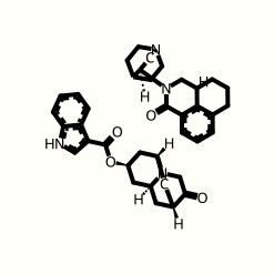 O=C(O[C@@H]1C[C@@H]2C[C@@H]3C[C@H](C1)N2CC3=O)c1c[nH]c2ccccc12.O=C1c2cccc3c2[C@H](CCC3)CN1[C@@H]1CN2CCC1CC2